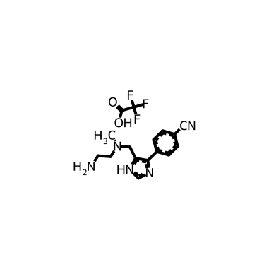 CN(CCN)Cc1[nH]cnc1-c1ccc(C#N)cc1.O=C(O)C(F)(F)F